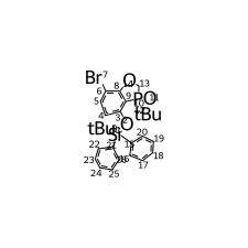 CC(C)(C)[Si](Oc1ccc(Br)c2c1P(=O)(C(C)(C)C)CO2)(c1ccccc1)c1ccccc1